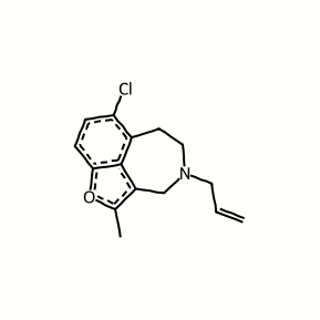 C=CCN1CCc2c(Cl)ccc3oc(C)c(c23)C1